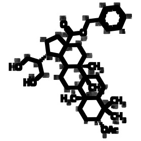 CC(=O)O[C@@H]1CC[C@@]2(C)C(CC[C@]3(C)C2CCC2C4[C@H](C(CO)CO)CC[C@]4(C(=O)OCc4ccccc4)CC[C@]23C)C1(C)C